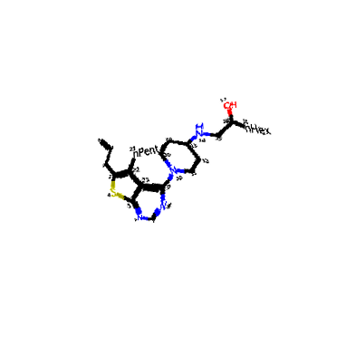 C=CCc1sc2ncnc(N3CCC(NCC(O)CCCCCC)CC3)c2c1CCCCC